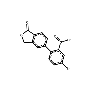 O=C1OCc2cc(-c3ncc(Br)cc3[N+](=O)[O-])ccc21